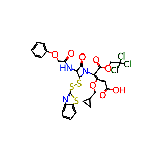 O=C(O)CC(OCC1CC1)=C(C(=O)OCC(Cl)(Cl)Cl)N1C(=O)C(NC(=O)COc2ccccc2)C1SSc1nc2ccccc2s1